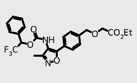 CCOC(=O)COCc1ccc(-c2onc(C)c2NC(=O)OC(c2ccccc2)C(F)(F)F)cc1